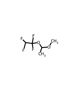 COC(C)OC(F)(F)C(F)F